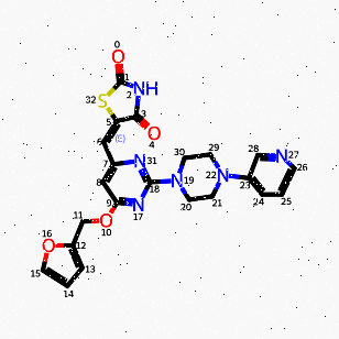 O=C1NC(=O)/C(=C\c2cc(OCc3ccco3)nc(N3CCN(c4cccnc4)CC3)n2)S1